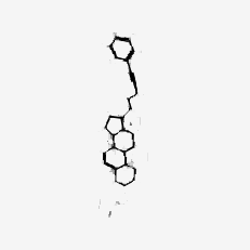 C[C@]12CCC3[C@@H](CC=C4C[C@@H](OPI)CC[C@@]43C)C1CCC2CCCC#Cc1ccccc1